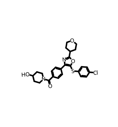 O=C(c1ccc(-c2nc(C3CCOCC3)oc2Sc2ccc(Cl)cc2)cc1)N1CCC(O)CC1